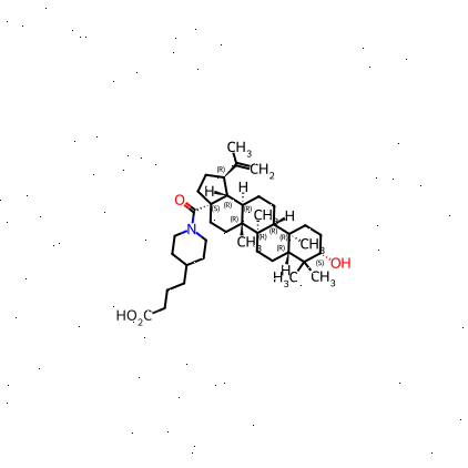 C=C(C)[C@@H]1CC[C@]2(C(=O)N3CCC(CCCC(=O)O)CC3)CC[C@]3(C)[C@H](CC[C@@H]4[C@@]5(C)CC[C@H](O)C(C)(C)[C@@H]5CC[C@]43C)[C@@H]12